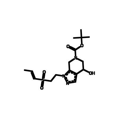 CC=CS(=O)(=O)CCn1ncc2c1CN(C(=O)OC(C)(C)C)CC2O